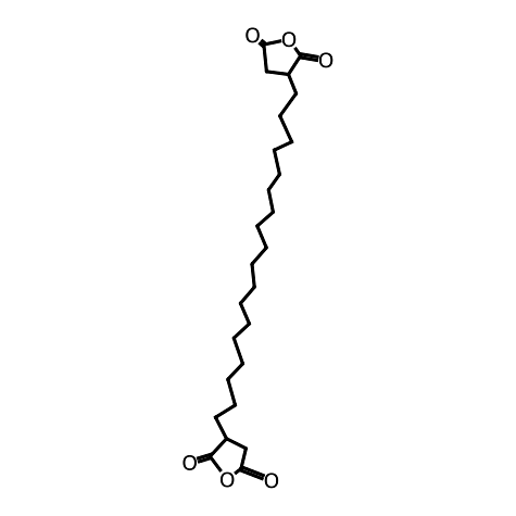 O=C1CC(CCCCCCCCCCCCCCCCCCC2CC(=O)OC2=O)C(=O)O1